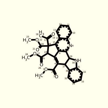 COC(=O)C1=C2c3c(nc4ccccc4c3C(C(C)=O)(C(=O)OC)C2C(=O)OC)C2Nc3ccccc3C12